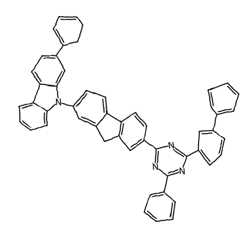 C1=CCCC(c2ccc3c4ccccc4n(-c4ccc5c(c4)Cc4cc(-c6nc(-c7ccccc7)nc(-c7cccc(-c8ccccc8)c7)n6)ccc4-5)c3c2)=C1